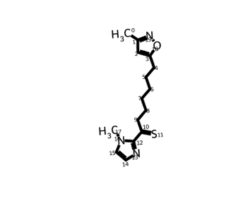 Cc1cc(CCCCCCC(=S)c2nccn2C)on1